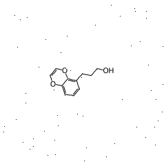 OCCCc1cccc2c1OC=CO2